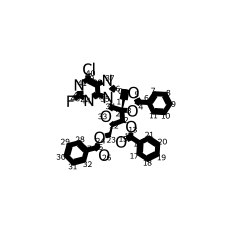 C#C[C@@]1(OC(=O)c2ccccc2)[C@H](OC(=O)c2ccccc2)[C@@H](COC(=O)c2ccccc2)O[C@H]1n1cnc2c(Cl)nc(F)nc21